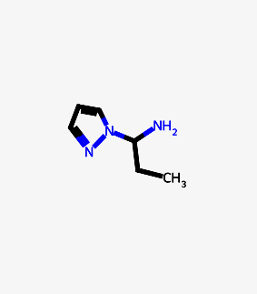 CCC(N)n1cccn1